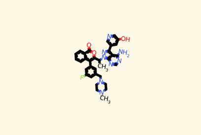 CC(c1oc(=O)c2ccccc2c1-c1cc(F)cc(CN2CCN(C)CC2)c1)n1nc(-c2cncc(O)c2)c2c(N)ncnc21